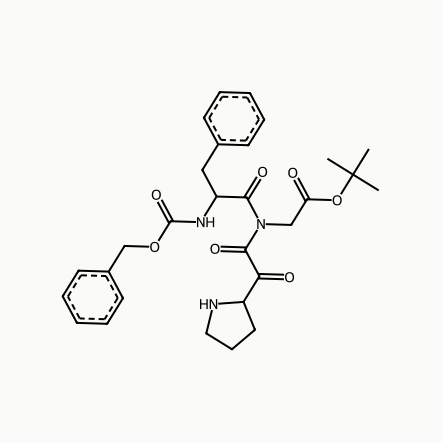 CC(C)(C)OC(=O)CN(C(=O)C(=O)C1CCCN1)C(=O)C(Cc1ccccc1)NC(=O)OCc1ccccc1